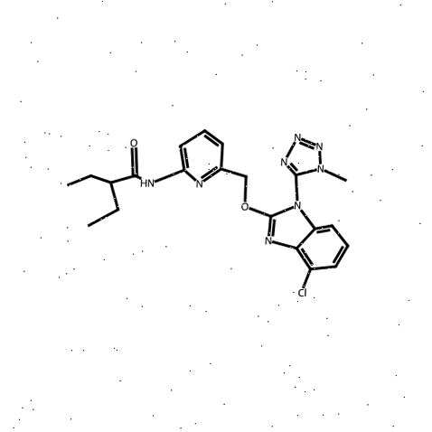 CCC(CC)C(=O)Nc1cccc(COc2nc3c(Cl)cccc3n2-c2nnnn2C)n1